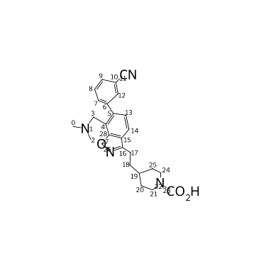 CN(C)Cc1c(-c2cccc(C#N)c2)ccc2c(CCC3CCN(C(=O)O)CC3)noc12